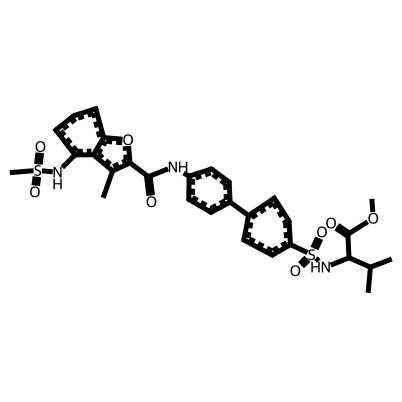 COC(=O)C(NS(=O)(=O)c1ccc(-c2ccc(NC(=O)c3oc4cccc(NS(C)(=O)=O)c4c3C)cc2)cc1)C(C)C